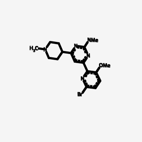 CNc1nc(-c2nc(Br)ccc2OC)cc(C2CCN(C)CC2)n1